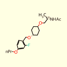 CCCOc1ccc(CO[C@H]2CC[C@H](OC[C@H](C)NC(C)=O)CC2)c(F)c1